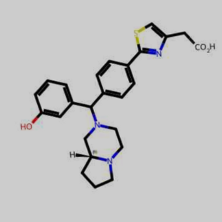 O=C(O)Cc1csc(-c2ccc(C(c3cccc(O)c3)N3CCN4CCC[C@@H]4C3)cc2)n1